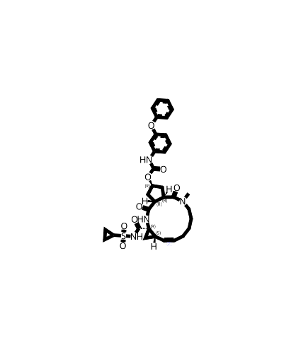 CN1CCCC/C=C\[C@@H]2C[C@@]2(C(=O)NS(=O)(=O)C2CC2)NC(=O)[C@@H]2C[C@@H](OC(=O)Nc3cccc(Oc4ccccc4)c3)C[C@H]2C1=O